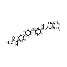 CC(=O)Nc1ccc(-c2ccc(Oc3cncc(NCCCN(C)C(C)=O)n3)cc2)cn1